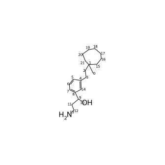 CC1(CCc2cccc(C(O)CCN)c2)CCCCCCC1